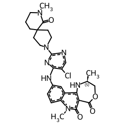 C[C@H]1COC(=O)c2c(c3cc(Nc4nc(N5CCC6(CCCN(C)C6=O)CC5)ncc4Cl)ccc3n(C)c2=O)N1